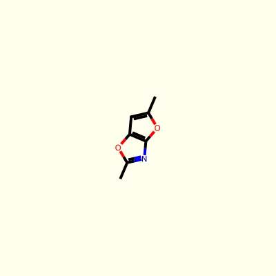 Cc1cc2oc(C)nc2o1